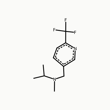 CC(C)N(C)Cc1ccc(C(F)(F)F)nc1